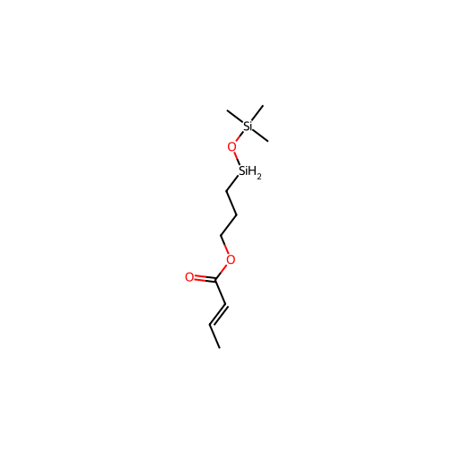 CC=CC(=O)OCCC[SiH2]O[Si](C)(C)C